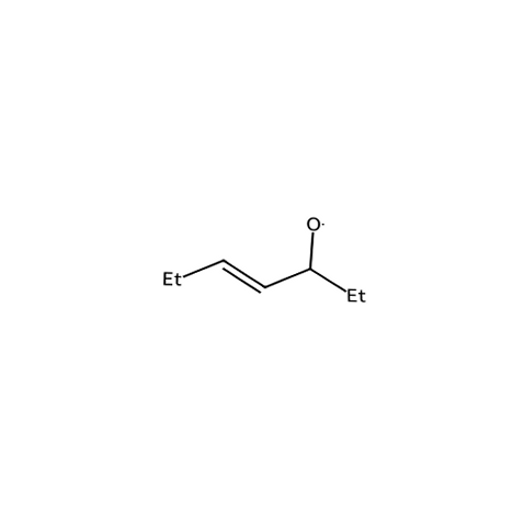 CCC=CC([O])CC